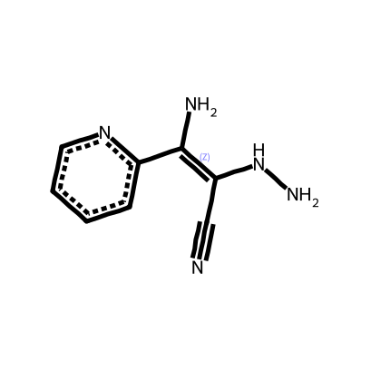 N#C/C(NN)=C(/N)c1ccccn1